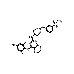 Cc1cc(C#N)cc(C)c1Oc1nc(NC2CCN(Cc3cccc(S(N)(=O)=O)c3)CC2)nc2c1SCCC2